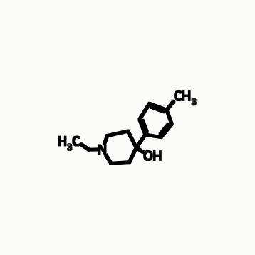 CCN1CCC(O)(c2ccc(C)cc2)CC1